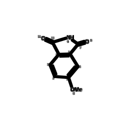 COc1ccc2c(c1)C(=O)NC2=O